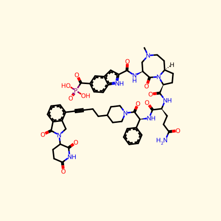 CN1CC[C@H]2CC[C@@H](C(=O)N[C@@H](CCC(N)=O)C(=O)N[C@H](C(=O)N3CCC(CCC#Cc4cccc5c4CN(C4CCC(=O)NC4=O)C5=O)CC3)c3ccccc3)N2C(=O)[C@@H](NC(=O)c2cc3cc(C(=O)P(=O)(O)O)ccc3[nH]2)C1